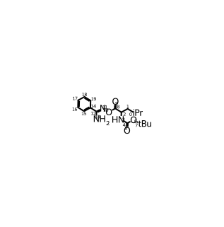 CC(C)CC(NC(=O)OC(C)(C)C)C(=O)ON=C(N)c1ccccc1